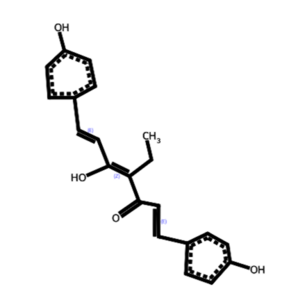 CC/C(C(=O)/C=C/c1ccc(O)cc1)=C(O)\C=C\c1ccc(O)cc1